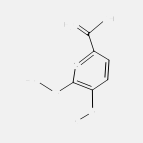 C=C(C)c1ccc(OC)c(OC)n1